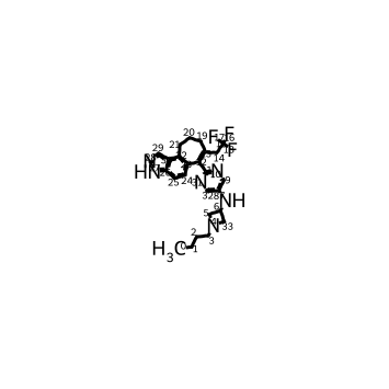 CCCCN1CC(Nc2cnc(C3=C(CC(F)(F)F)CCCc4c3ccc3[nH]ncc43)nc2)C1